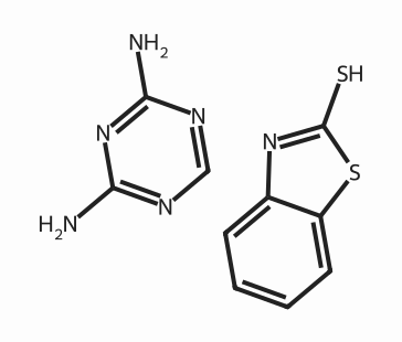 Nc1ncnc(N)n1.Sc1nc2ccccc2s1